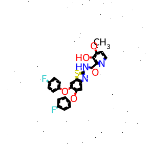 COc1ccnc(C(=O)Nc2nc3cc(Oc4ccc(F)cc4)c(Oc4ccc(F)cc4)cc3s2)c1O